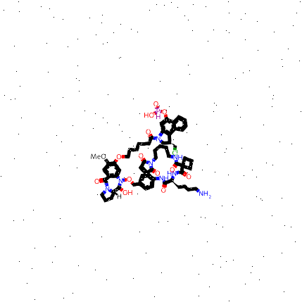 COc1cc2c(cc1OCCCCCC(=O)N1C[C@@H](CCl)c3c1cc(O[PH](=O)O)c1ccccc31)N(OCc1ccc(NC(=O)[C@H](CCCCN)NC(=O)C3(C(=O)NCCCCCN4C(=O)C=CC4=O)CCC3)cc1)C(O)[C@@H]1CCCN1C2=O